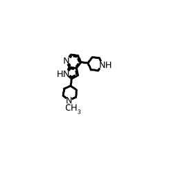 CN1CCC(c2cc3c(C4CCNCC4)ccnc3[nH]2)CC1